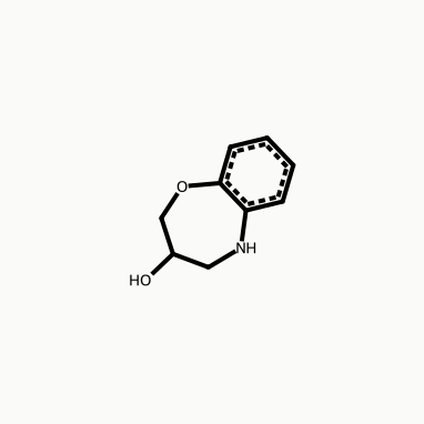 OC1CNc2ccccc2OC1